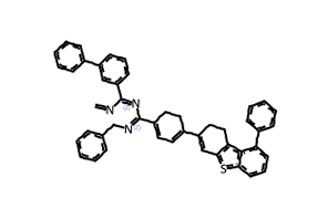 C=N/C(=N\C(=N/Cc1ccccc1)C1=CC=C(C2=Cc3sc4cccc(-c5ccccc5)c4c3CC2)CC1)c1cccc(-c2ccccc2)c1